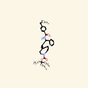 CCc1ccc(C(=O)NC(CC2CCN(C(=O)OC(C)(C)C)CC2)c2ccccc2)cc1